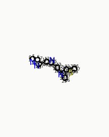 c1cnc2c(c1)ccc1c(-c3ccc4ncc(-c5ccc(-c6nc7ccccc7c7c6ccc6c8ccccc8sc67)cc5)cc4c3)ccnc12